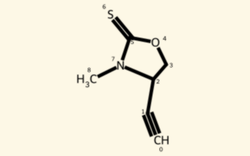 C#CC1COC(=S)N1C